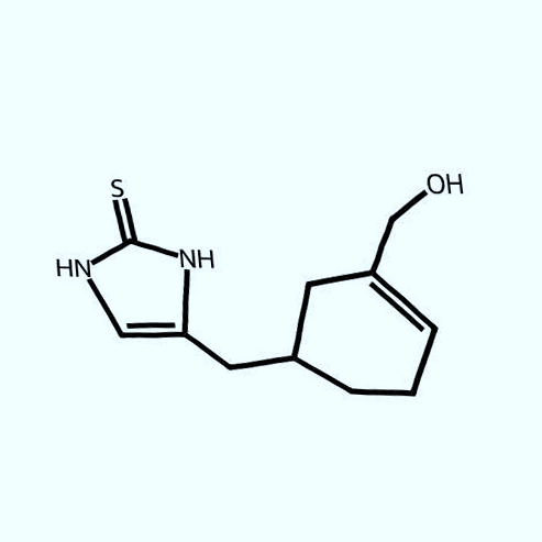 OCC1=CCCC(Cc2c[nH]c(=S)[nH]2)C1